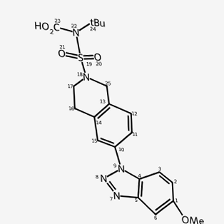 COc1ccc2c(c1)nnn2-c1ccc2c(c1)CCN(S(=O)(=O)N(C(=O)O)C(C)(C)C)C2